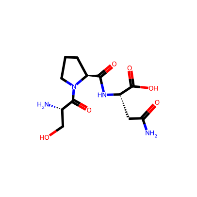 NC(=O)C[C@H](NC(=O)[C@@H]1CCCN1C(=O)[C@@H](N)CO)C(=O)O